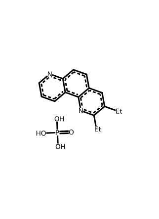 CCc1cc2ccc3ncccc3c2nc1CC.O=P(O)(O)O